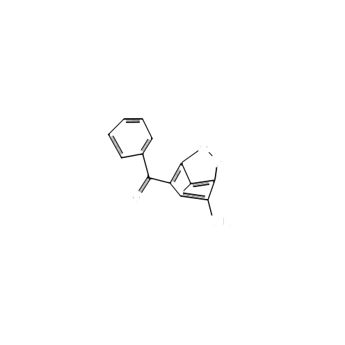 Cc1c2c([C]=O)cc(C(=O)c3ccccc3)c1OO2